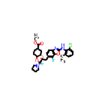 COC(=O)C1CCC(OC(F)(C(=O)Cc2ccc3nc(Nc4c(C)cccc4Cl)oc3c2F)N2CCCC2)CC1